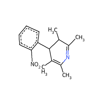 CC1=NC(C)=C(C)C(c2ccccc2[N+](=O)[O-])C1C